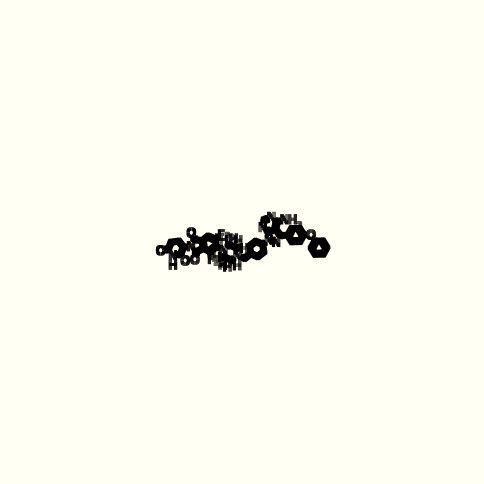 [2H]C1([2H])N(CC2CCC(n3nc(-c4ccc(Oc5ccccc5)cc4)c4c(N)ncnc43)CC2)C([2H])([2H])C([2H])([2H])N(c2c(F)cc3c(c2F)C(=O)N(C2CCC(=O)NC2=O)C3=O)C1([2H])[2H]